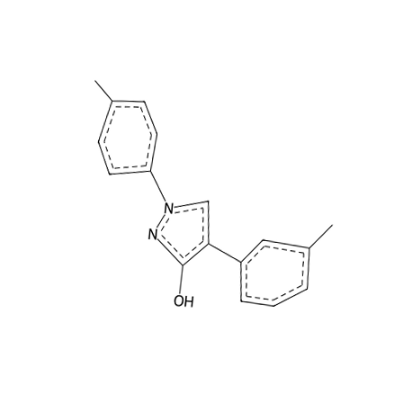 Cc1ccc(-n2cc(-c3cccc(C)c3)c(O)n2)cc1